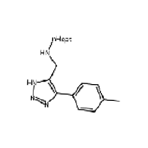 CCCCCCCNCc1[nH]nnc1-c1ccc(C)cc1